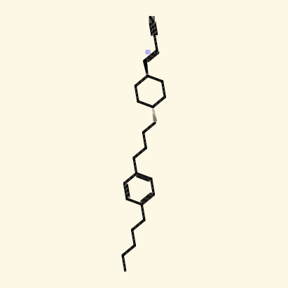 CCCCCc1ccc(CCCC[C@H]2CC[C@H](/C=C/C#N)CC2)cc1